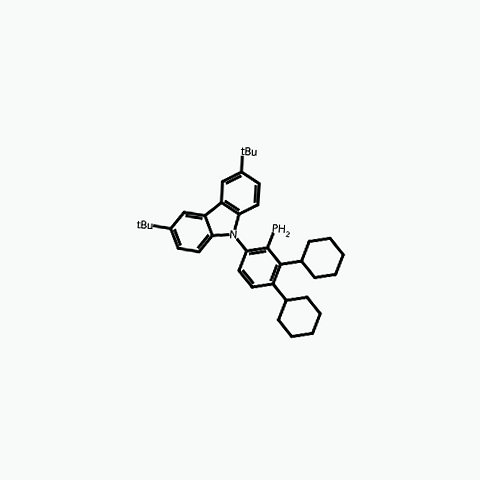 CC(C)(C)c1ccc2c(c1)c1cc(C(C)(C)C)ccc1n2-c1ccc(C2CCCCC2)c(C2CCCCC2)c1P